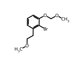 COCCc1cccc(OCOC)c1Br